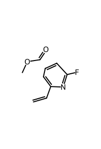 C=Cc1cccc(F)n1.COC=O